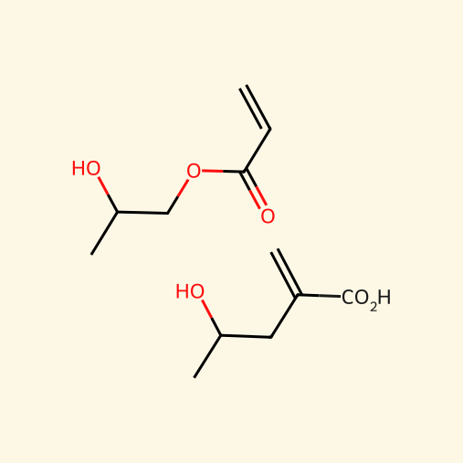 C=C(CC(C)O)C(=O)O.C=CC(=O)OCC(C)O